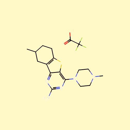 CC1CCc2sc3c(N4CCN(C)CC4)nc(N)nc3c2C1.O=C(O)C(F)(F)F